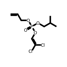 C=CCOP(=O)(OC=C(Cl)Cl)OCC(C)C